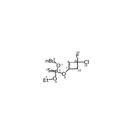 CCCCOP(=S)(OCC)OC1CC(F)(Cl)C1